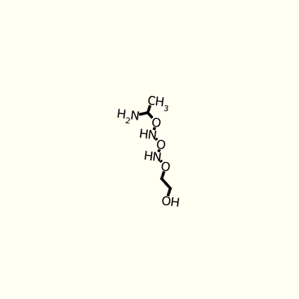 CC(N)ONONOCCO